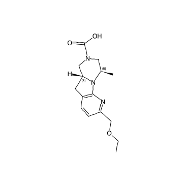 CCOCc1ccc2c(n1)N1[C@H](C2)CN(C(=O)O)C[C@H]1C